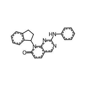 O=c1ccc2cnc(Nc3ccccc3)nc2n1C1CCc2ccccc21